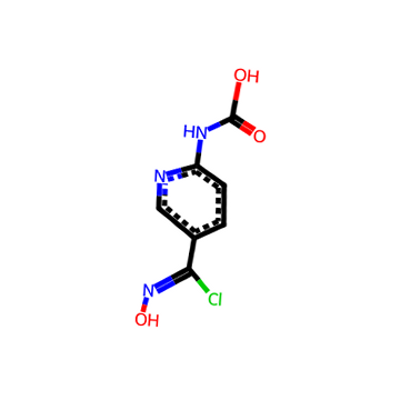 O=C(O)Nc1ccc(C(Cl)=NO)cn1